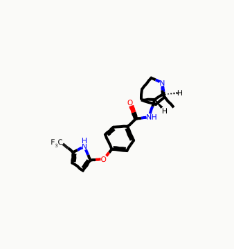 C[C@H]1[C@H](NC(=O)c2ccc(Oc3ccc(C(F)(F)F)[nH]3)cc2)C2CCN1CC2